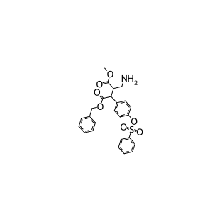 COC(=O)C(CN)C(C(=O)OCc1ccccc1)c1ccc(OS(=O)(=O)c2ccccc2)cc1